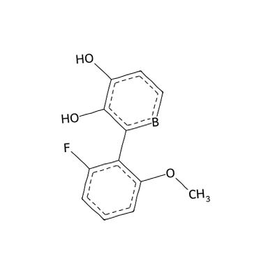 COc1cccc(F)c1-c1bccc(O)c1O